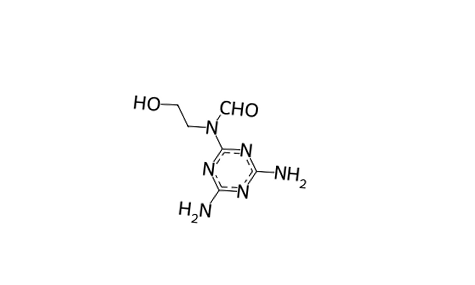 Nc1nc(N)nc(N(C=O)CCO)n1